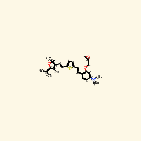 [C-]#[N+]C1=C(/C=C/c2ccc(/C=C/c3ccc(N(CCCC)CCCC)cc3OCC3CO3)s2)C(C)(C(F)(F)F)OC1=C(C#N)C#N